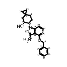 N#C[C@H]1CC2(CC[C@@H]1n1nc(N)c3c(OCc4ccccc4)nccc31)CC2